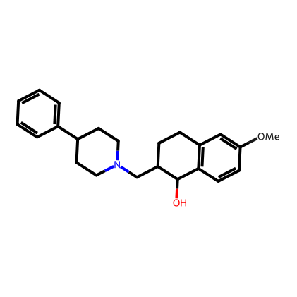 COc1ccc2c(c1)CCC(CN1CCC(c3ccccc3)CC1)C2O